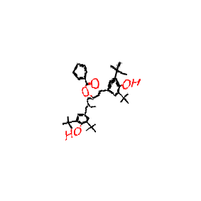 CC(C)(C)c1cc(CCC(CCc2cc(C(C)(C)C)c(O)c(C(C)(C)C)c2)OC(=O)c2ccccc2)cc(C(C)(C)C)c1O